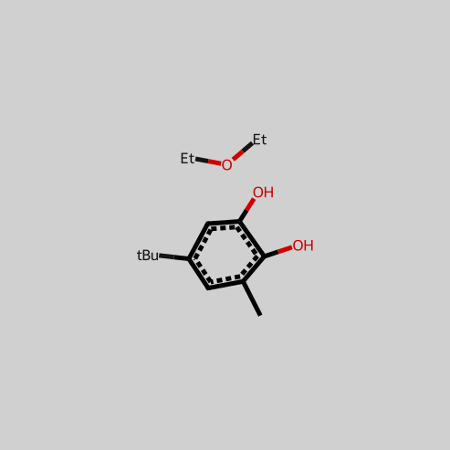 CCOCC.Cc1cc(C(C)(C)C)cc(O)c1O